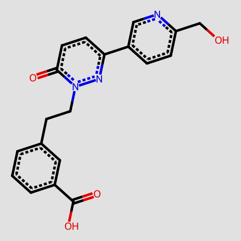 O=C(O)c1cccc(CCn2nc(-c3ccc(CO)nc3)ccc2=O)c1